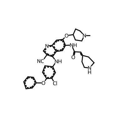 CN1CCC(Oc2cc3ncc(C#N)c(Nc4ccc(Oc5ccccc5)c(Cl)c4)c3cc2NC(=O)C=C2CCNCC2)CC1